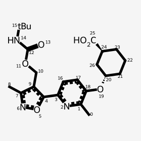 Cc1nc(-c2onc(C)c2COC(=O)NC(C)(C)C)ccc1O[C@H]1CCC[C@H](C(=O)O)C1